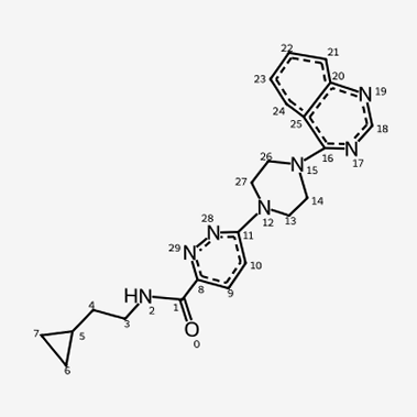 O=C(NCCC1CC1)c1ccc(N2CCN(c3ncnc4ccccc34)CC2)nn1